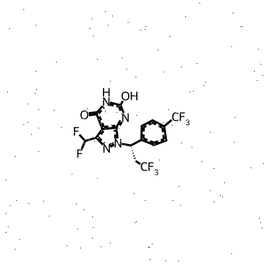 O=c1[nH]c(O)nc2c1c(C(F)F)nn2[C@@H](CC(F)(F)F)c1ccc(C(F)(F)F)cc1